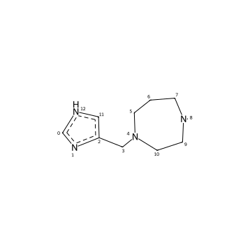 c1nc(CN2CCC[N]CC2)c[nH]1